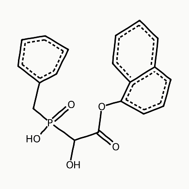 O=C(Oc1cccc2ccccc12)C(O)P(=O)(O)Cc1ccccc1